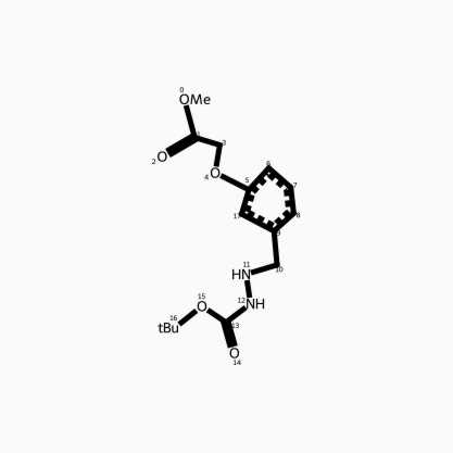 COC(=O)COc1cccc(CNNC(=O)OC(C)(C)C)c1